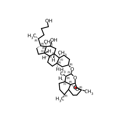 C[C@H]1[C@@H](O[C@@H]2CC[C@@]3(C)[C@H](CC[C@@H]4[C@@H]3C[C@H](O)[C@]3(C)[C@@H]([C@H](C)CCCO)CC[C@@H]43)C2)OC2O[C@@]3(C)CCC4[C@H](C)CC[C@@H]1[C@@]24OO3